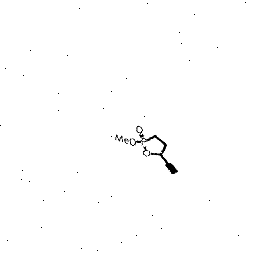 C#CC1CCP(=O)(OC)O1